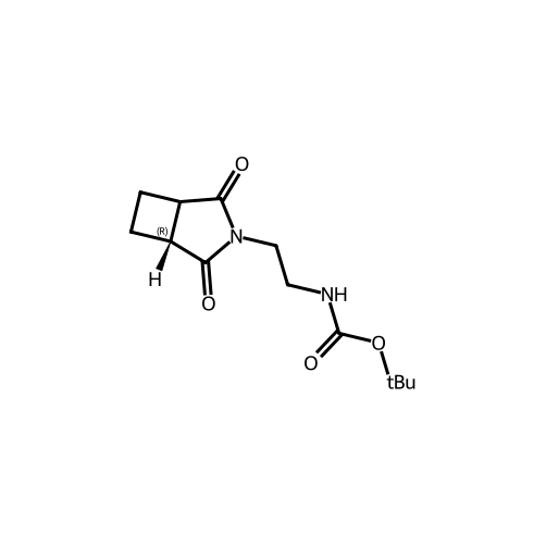 CC(C)(C)OC(=O)NCCN1C(=O)C2CC[C@H]2C1=O